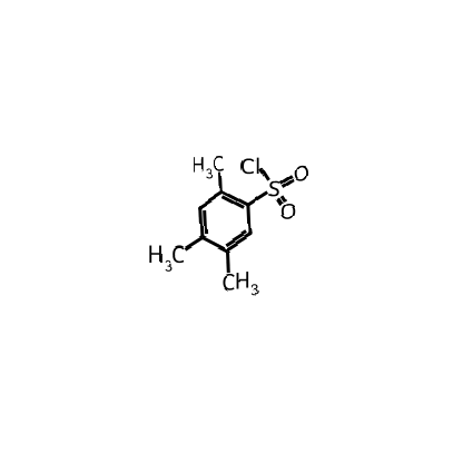 Cc1cc(C)c(S(=O)(=O)Cl)cc1C